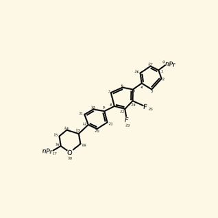 CCCc1ccc(-c2ccc(-c3ccc(C4CCC(CCC)OC4)cc3)c(F)c2F)cc1